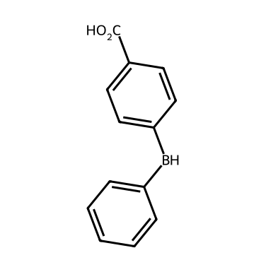 O=C(O)c1ccc(Bc2ccccc2)cc1